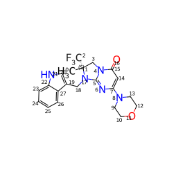 C[C@@]1(C(F)(F)F)Cn2c(nc(N3CCOCC3)cc2=O)N1Cc1c[nH]c2ccccc12